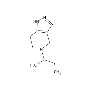 CCC(C)N1CCc2[nH]ncc2C1